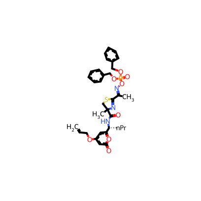 C=CCOc1cc([C@@H](CCC)NC(=O)C2(C)CSC(/C(C)=N/OP(=O)(OCc3ccccc3)OCc3ccccc3)=N2)oc(=O)c1